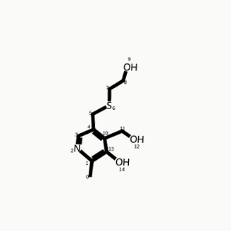 Cc1ncc(CSCCO)c(CO)c1O